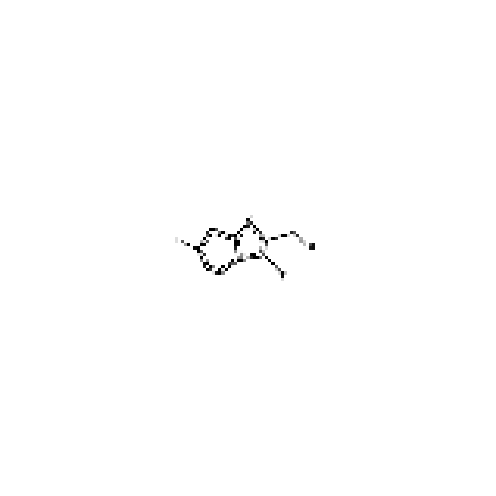 OCc1sc2cc(F)ccc2c1F